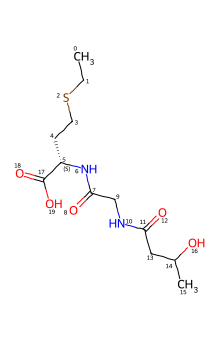 CCSCC[C@H](NC(=O)CNC(=O)CC(C)O)C(=O)O